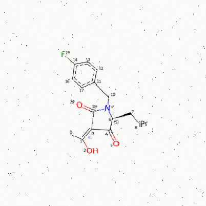 C/C(O)=C1/C(=O)[C@H](CC(C)C)N(Cc2ccc(F)cc2)C1=O